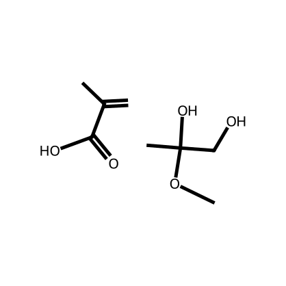 C=C(C)C(=O)O.COC(C)(O)CO